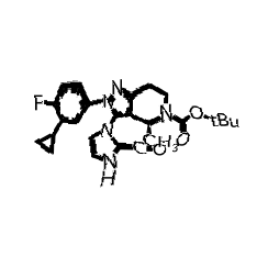 C[C@H]1c2c(nn(-c3ccc(F)c(C4CC4)c3)c2N2C=CNC2=C=O)CCN1C(=O)OC(C)(C)C